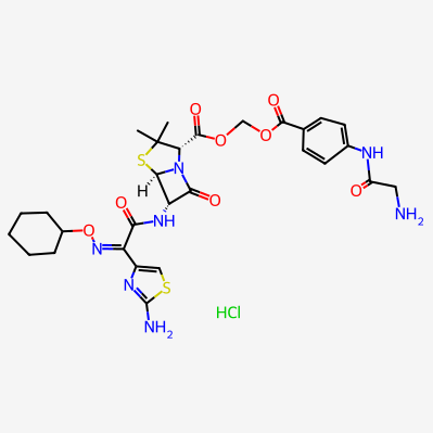 CC1(C)S[C@@H]2[C@@H](NC(=O)/C(=N\OC3CCCCC3)c3csc(N)n3)C(=O)N2[C@H]1C(=O)OCOC(=O)c1ccc(NC(=O)CN)cc1.Cl